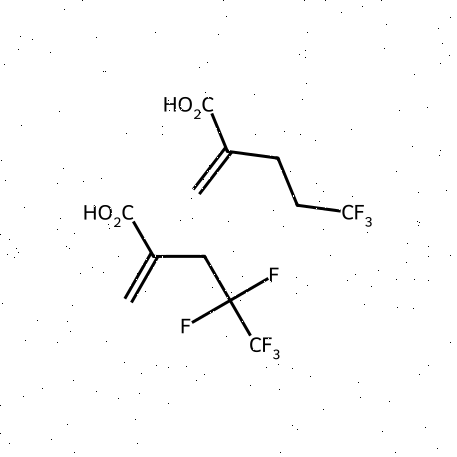 C=C(CC(F)(F)C(F)(F)F)C(=O)O.C=C(CCC(F)(F)F)C(=O)O